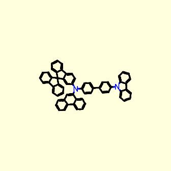 c1ccc2c(c1)-c1ccccc1C21c2ccccc2-c2ccc(N(c3ccc(-c4ccc(-n5c6ccccc6c6ccccc65)cc4)cc3)c3cc4ccccc4c4ccccc34)cc21